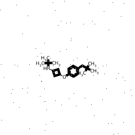 CC(C)(C)Cc1ccc(O[C@H]2C[C@@H](NC(C)(C)C)C2)cc1